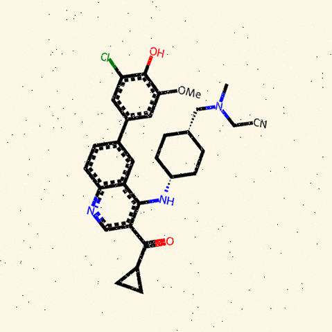 COc1cc(-c2ccc3ncc(C(=O)C4CC4)c(N[C@H]4CC[C@@H](CN(C)CC#N)CC4)c3c2)cc(Cl)c1O